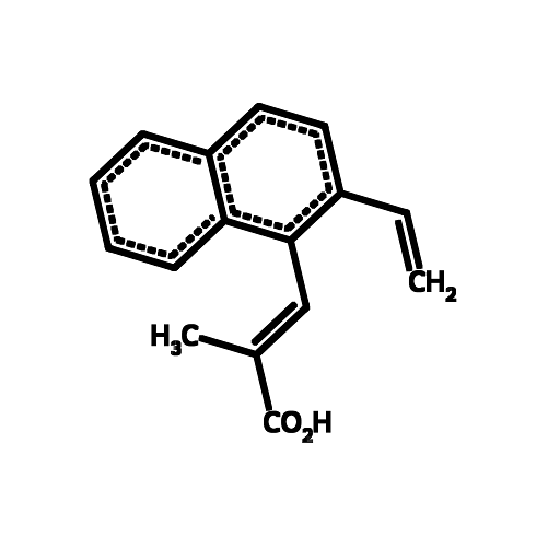 C=Cc1ccc2ccccc2c1C=C(C)C(=O)O